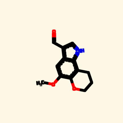 COc1cc2c(C=O)c[nH]c2c2c1OCCC2